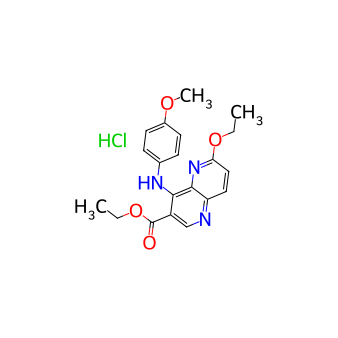 CCOC(=O)c1cnc2ccc(OCC)nc2c1Nc1ccc(OC)cc1.Cl